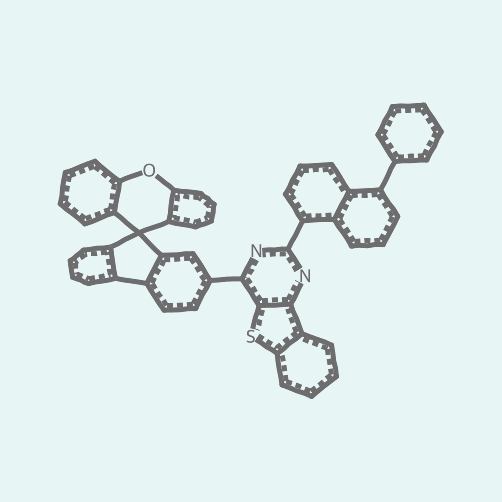 c1ccc(-c2cccc3c(-c4nc(-c5ccc6c(c5)C5(c7ccccc7Oc7ccccc75)c5ccccc5-6)c5sc6ccccc6c5n4)cccc23)cc1